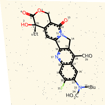 CC[C@@]1(O)C(=O)OCc2c1cc1n(c2=O)Cc2c-1nc1cc(F)c(N(C(=O)O)C(C)(C)C)cc1c2C=O